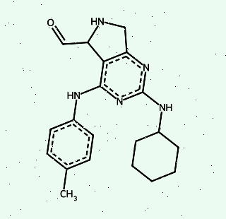 Cc1ccc(Nc2nc(NC3CCCCC3)nc3c2C(C=O)NC3)cc1